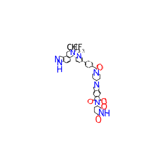 C[C@@H]1Cc2c(ccc3[nH]ncc23)[C@@H](c2ccc(C3=CCC(C(=O)N4CCC(N5Cc6cc7c(cc6C5)C(=O)N(C5CCC(=O)NC5=O)C7=O)CC4)CC3)cn2)N1CC(F)(F)F